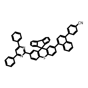 N#Cc1ccc(-c2ccc(-c3ccc4c(c3)C3(c5cc(-c6nc(-c7ccccc7)cc(-c7ccccc7)n6)ccc5S4)c4ccccc4-c4ccccc43)c3ccccc23)cc1